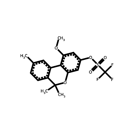 COc1cc(OS(=O)(=O)C(F)(F)F)cc2c1-c1cc(C)ccc1C(C)(C)O2